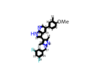 COc1ccc(-c2cnc3[nH]cc(-c4c(C)nn(Cc5cc(F)cc(F)c5)c4C)c3c2)cc1C